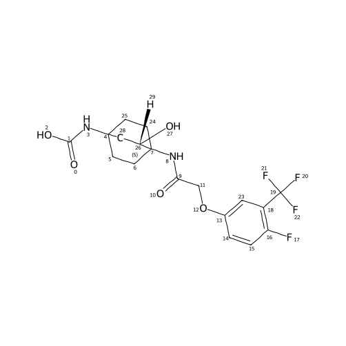 O=C(O)NC12CCC(NC(=O)COc3ccc(F)c(C(F)(F)F)c3)(CC1)[C@@H](O)C2